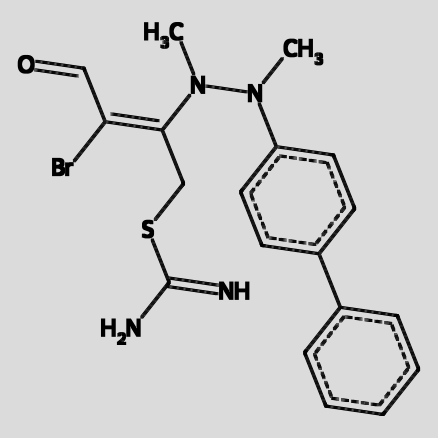 CN(/C(CSC(=N)N)=C(/Br)C=O)N(C)c1ccc(-c2ccccc2)cc1